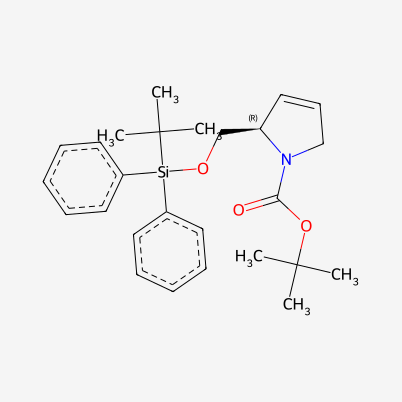 CC(C)(C)OC(=O)N1CC=C[C@@H]1CO[Si](c1ccccc1)(c1ccccc1)C(C)(C)C